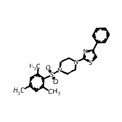 Cc1cc(C)c(S(=O)(=O)N2CCN(c3nc(-c4ccccc4)cs3)CC2)c(C)c1